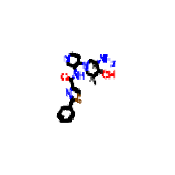 C[C@H]1CN(c2ccncc2NC(=O)c2csc(-c3ccccc3)n2)C[C@@H](N)[C@@H]1O